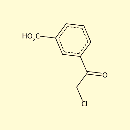 O=C(O)c1cccc(C(=O)CCl)c1